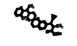 COC(=O)C(C)C(c1ccc2c(c1)OC1(CC2)CCC(N(C)c2ncccc2C(F)(F)F)CC1)C1CC1